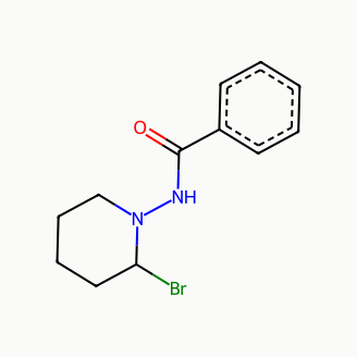 O=C(NN1CCCCC1Br)c1ccccc1